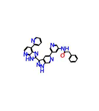 O=C(Cc1ccccc1)Nc1cncc(-c2cc3c(-c4nc5c(-c6ccccn6)ccnc5[nH]4)n[nH]c3cn2)c1